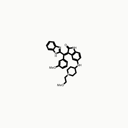 COCCN1CCC(Nc2ccc3c(c2)/C(=C(\c2cccc(OC)c2)c2nc4ccccc4[nH]2)C(=O)N3)CC1